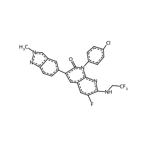 Cn1cc2cc(-c3cc4cc(F)c(NCC(F)(F)F)nc4n(-c4ccc(Cl)cc4)c3=O)ccc2n1